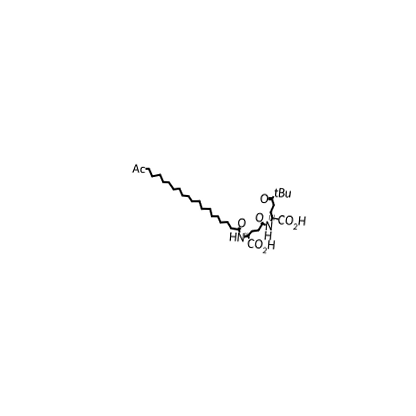 CC(=O)CCCCCCCCCCCCCCCCCCC(=O)N[C@@H](CCC(=O)N[C@@H](CCC(=O)C(C)(C)C)C(=O)O)C(=O)O